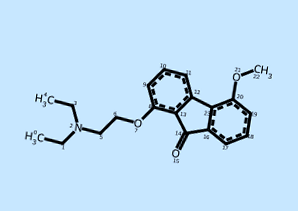 CCN(CC)CCOc1cccc2c1C(=O)c1cccc(OC)c1-2